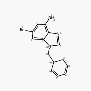 Nc1cc(Br)cc2c1ncn2CC1C=CC=CC1